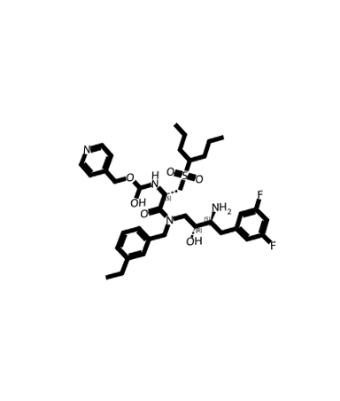 CCCC(CCC)S(=O)(=O)C[C@@H](NC(O)OCc1ccncc1)C(=O)N(Cc1cccc(CC)c1)C[C@@H](O)[C@@H](N)Cc1cc(F)cc(F)c1